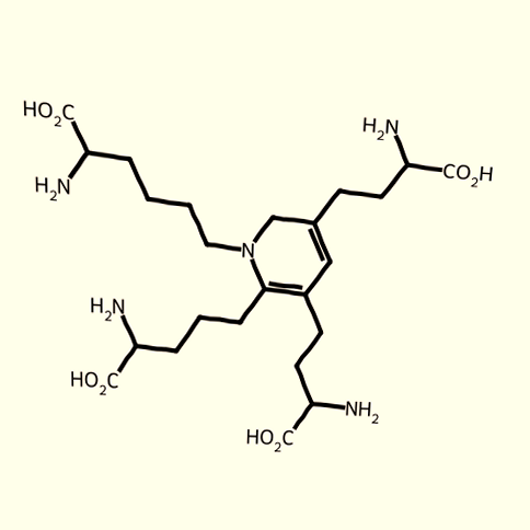 NC(CCCCN1CC(CCC(N)C(=O)O)=CC(CCC(N)C(=O)O)=C1CCCC(N)C(=O)O)C(=O)O